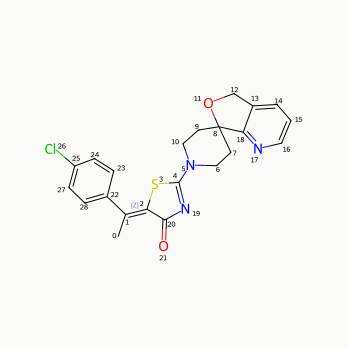 C/C(=C1/SC(N2CCC3(CC2)OCc2cccnc23)=NC1=O)c1ccc(Cl)cc1